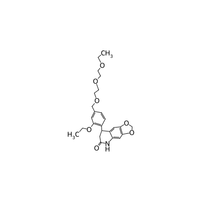 CCOCCOCCOCc1ccc(C2CC(=O)Nc3cc4c(cc32)OCO4)c(OCC)c1